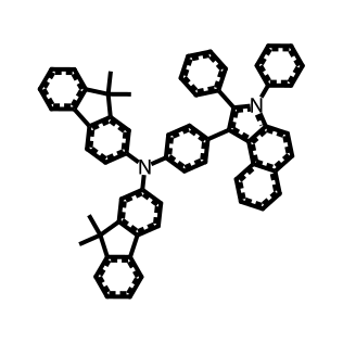 CC1(C)c2ccccc2-c2ccc(N(c3ccc(-c4c(-c5ccccc5)n(-c5ccccc5)c5ccc6ccccc6c45)cc3)c3ccc4c(c3)C(C)(C)c3ccccc3-4)cc21